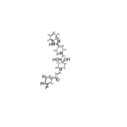 O=C(C=CN1CCC(O)(C(O)CN2CCC(c3nc4ccccc4[nH]3)CC2)CC1)c1cc(F)c(F)c(F)c1